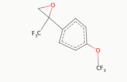 FC(F)(F)Oc1ccc(C2(C(F)(F)F)CO2)cc1